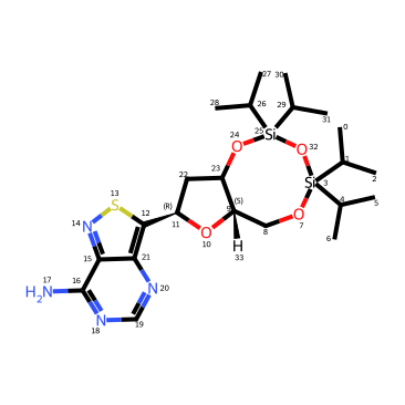 CC(C)[Si]1(C(C)C)OC[C@@H]2O[C@@H](c3snc4c(N)ncnc34)CC2O[Si](C(C)C)(C(C)C)O1